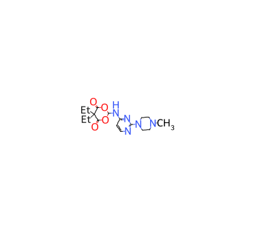 CCC1(CC)C(=O)OC(Nc2ccnc(N3CCN(C)CC3)n2)OC1=O